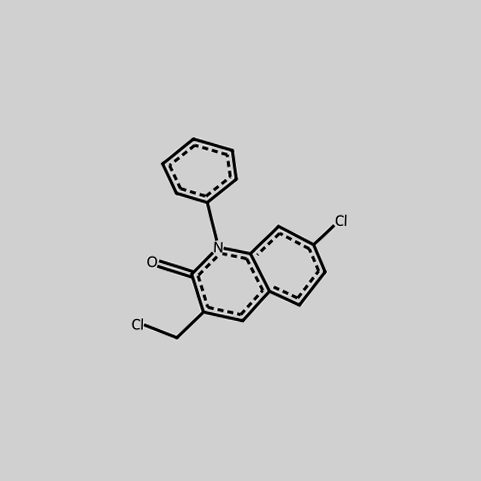 O=c1c(CCl)cc2ccc(Cl)cc2n1-c1ccccc1